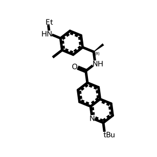 CCNc1ccc([C@@H](C)NC(=O)c2ccc3nc(C(C)(C)C)ccc3c2)cc1C